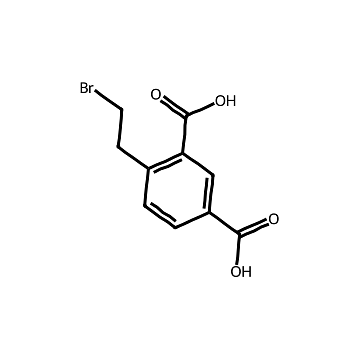 O=C(O)c1ccc(CCBr)c(C(=O)O)c1